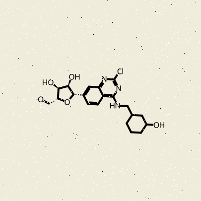 [O]C[C@H]1O[C@@H](c2ccc3c(NCC4CCCC(O)C4)nc(Cl)nc3c2)[C@H](O)[C@@H]1O